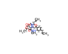 CCCC[C@]1(C(=O)O)CCN(C(=O)CCC)N(CCc2ccc(CCC)cc2)[C@@H]1C(=O)NC